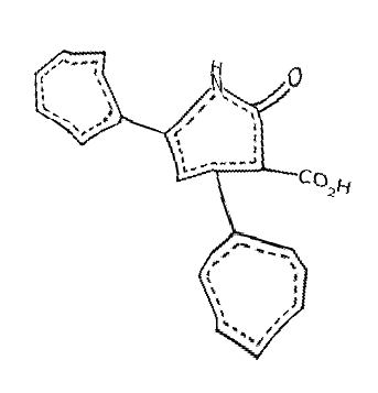 O=C(O)c1c(-c2ccccc2)cc(-c2ccccc2)[nH]c1=O